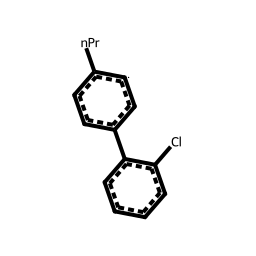 CCCc1[c]cc(-c2ccccc2Cl)cc1